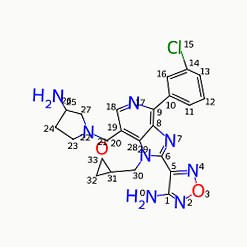 Nc1nonc1-c1nc2c(-c3cccc(Cl)c3)ncc(C(=O)N3CCC(N)C3)c2n1CC1CC1